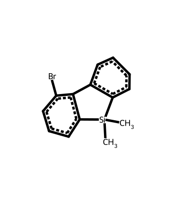 C[Si]1(C)c2ccccc2-c2c(Br)cccc21